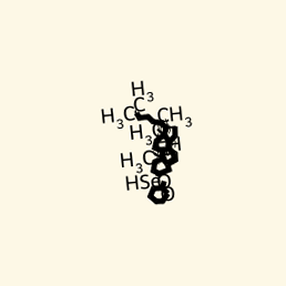 CC[C@]12CCC([SeH])(OC3CCCCO3)CC1=CC[C@@H]1[C@@H]2CC[C@]2(C)[C@@H]([C@H](C)CCCC(C)C)CC[C@@H]12